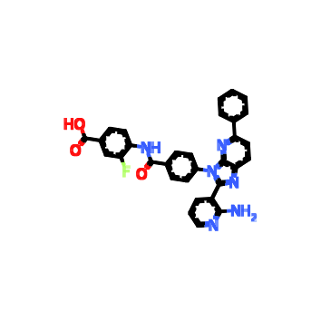 Nc1ncccc1-c1nc2ccc(-c3ccccc3)nc2n1-c1ccc(C(=O)Nc2ccc(C(=O)O)cc2F)cc1